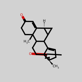 CC12CCC(=O)C=C1[C@H]1CC1C1C3=CC[C@@]4(C)CCC(=O)C34CCC12